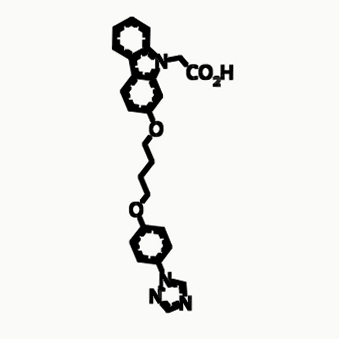 O=C(O)Cn1c2ccccc2c2ccc(OCCCCOc3ccc(-n4cncn4)cc3)cc21